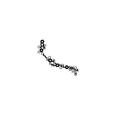 COc1cc2c(cc1OCCCCCOc1cc3c(cc1OC)C(=O)N1Cc4cc(NC(=O)OCc5ccc(NC(=O)CNC(=O)[C@@H](NC=O)C(C)C)cc5)ccc4C[C@H]1C=N3)N=C[C@@H]1Cc3ccccc3CN1C2=O